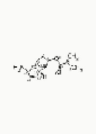 C=C(C)C(=O)OC1CC2CC1[C@@H]1C=CC(N)C21